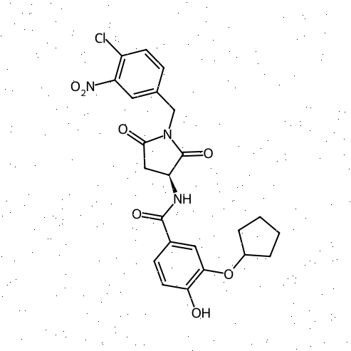 O=C(N[C@H]1CC(=O)N(Cc2ccc(Cl)c([N+](=O)[O-])c2)C1=O)c1ccc(O)c(OC2CCCC2)c1